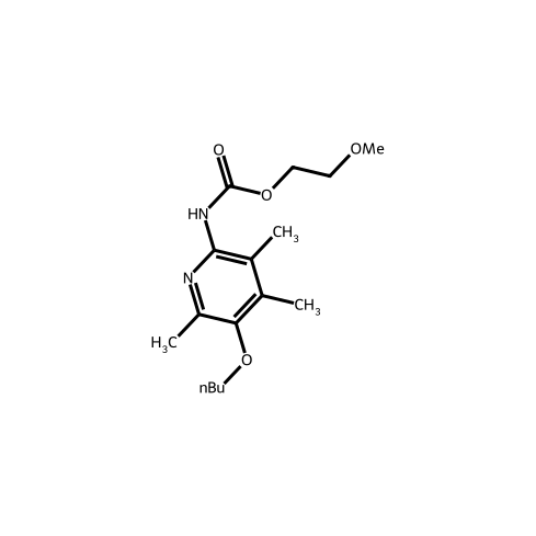 CCCCOc1c(C)nc(NC(=O)OCCOC)c(C)c1C